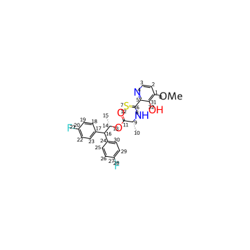 COc1ccnc(C(=S)N[C@H](C)C(=O)O[C@@H](C)C(c2ccc(F)cc2)c2ccc(F)cc2)c1O